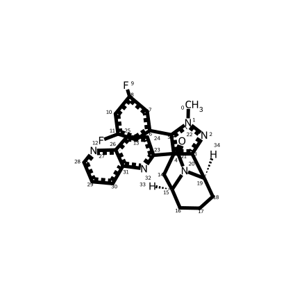 Cn1nc2c(c1-c1cc(F)cc(F)c1)C[C@@H]1CCC[C@H]2N1C(=O)c1ccc2ncccc2n1